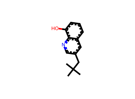 CC(C)(C)Cc1cnc2c(O)cccc2c1